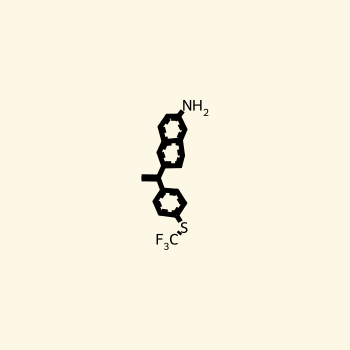 C=C(c1ccc(SC(F)(F)F)cc1)c1ccc2cc(N)ccc2c1